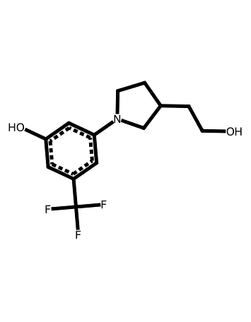 OCCC1CCN(c2cc(O)cc(C(F)(F)F)c2)C1